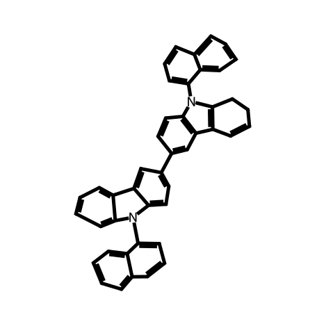 C1=Cc2c(n(-c3cccc4ccccc34)c3ccc(-c4ccc5c(c4)c4ccccc4n5-c4cccc5ccccc45)cc23)CC1